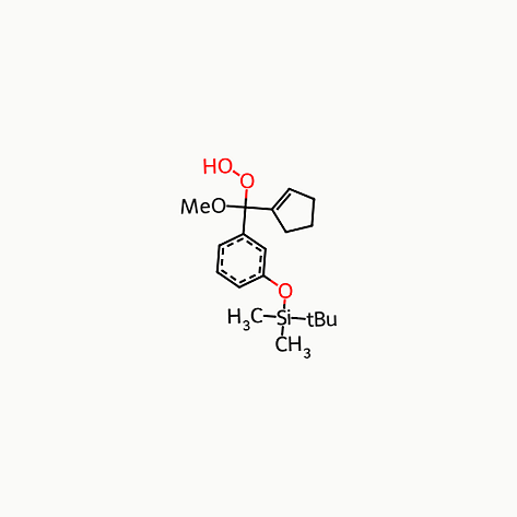 COC(OO)(C1=CCCC1)c1cccc(O[Si](C)(C)C(C)(C)C)c1